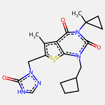 Cc1c(Cn2nc[nH]c2=O)sc2c1c(=O)n(C1(C)CC1)c(=O)n2CC1CCC1